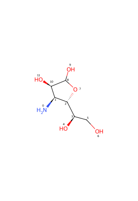 N[C@@H]1[C@@H]([C@H](O)CO)OC(O)[C@@H]1O